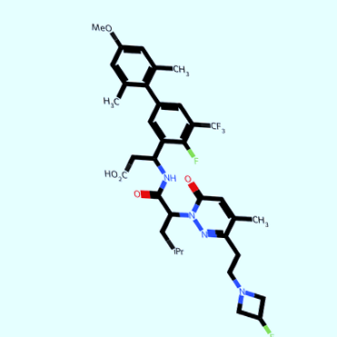 COc1cc(C)c(-c2cc(C(CC(=O)O)NC(=O)C(CC(C)C)n3nc(CCN4CC(F)C4)c(C)cc3=O)c(F)c(C(F)(F)F)c2)c(C)c1